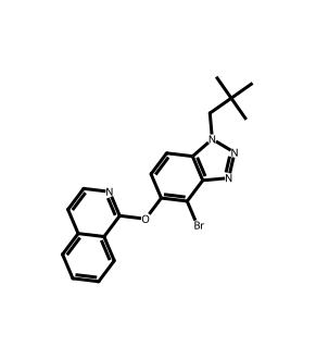 CC(C)(C)Cn1nnc2c(Br)c(Oc3nccc4ccccc34)ccc21